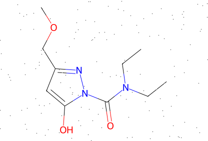 CCN(CC)C(=O)n1nc(COC)cc1O